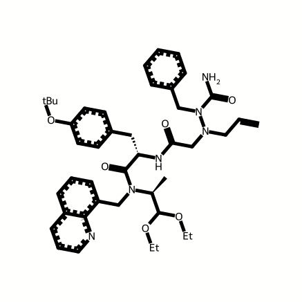 C=CCN(CC(=O)N[C@@H](Cc1ccc(OC(C)(C)C)cc1)C(=O)N(Cc1cccc2cccnc12)[C@@H](C)C(OCC)OCC)N(Cc1ccccc1)C(N)=O